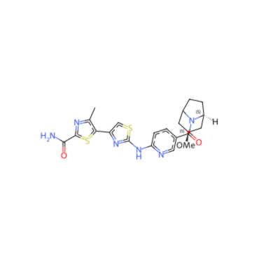 CO[C@H]1CC2CC[C@@H](C1)N2C(=O)c1ccc(Nc2nc(-c3sc(C(N)=O)nc3C)cs2)nc1